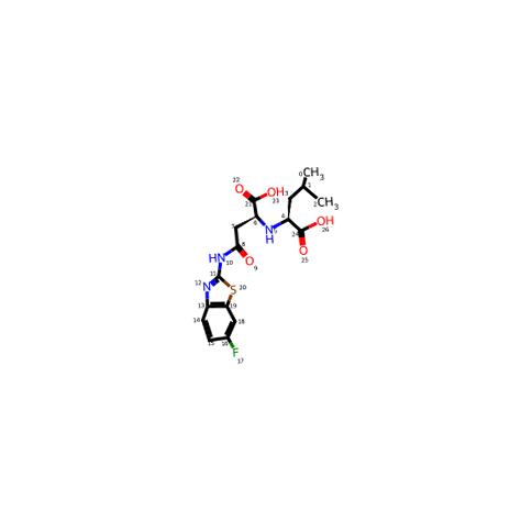 CC(C)C[C@H](N[C@@H](CC(=O)Nc1nc2ccc(F)cc2s1)C(=O)O)C(=O)O